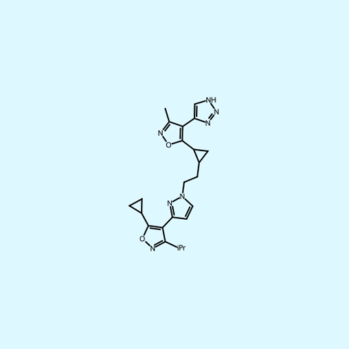 Cc1noc(C2CC2CCn2ccc(-c3c(C(C)C)noc3C3CC3)n2)c1-c1c[nH]nn1